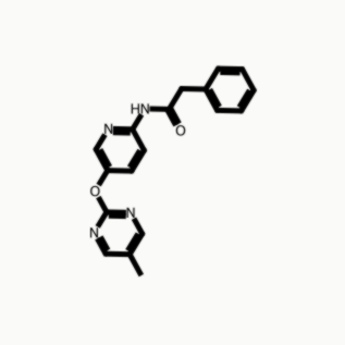 Cc1cnc(Oc2ccc(NC(=O)Cc3ccccc3)nc2)nc1